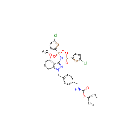 C=C(C)OC(=O)NCc1ccc(Cn2nc(N(S(=O)(=O)c3ccc(Cl)s3)S(=O)(=O)c3ccc(Cl)s3)c3c(OC)cccc32)cc1